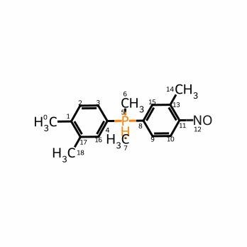 Cc1ccc([PH](C)(C)c2ccc(N=O)c(C)c2)cc1C